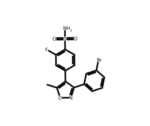 Cc1onc(-c2cccc(Br)c2)c1-c1ccc(S(N)(=O)=O)c(F)c1